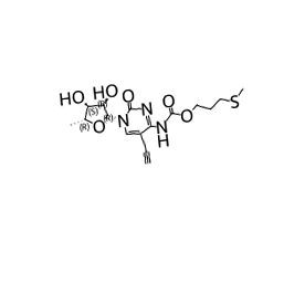 C#Cc1cn([C@@H]2O[C@H](C)[C@@H](O)[C@H]2O)c(=O)nc1NC(=O)OCCCSC